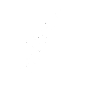 CCn1nc(C)cc1NC(=O)Cn1cnc2c(Nc3ccc(N(C)C)cc3)nc(N)nc21